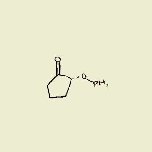 O=C1CCC[C@H]1OP